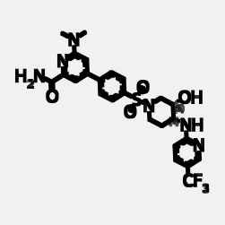 CN(C)c1cc(-c2ccc(S(=O)(=O)N3CC[C@@H](Nc4ccc(C(F)(F)F)cn4)[C@@H](O)C3)cc2)cc(C(N)=O)n1